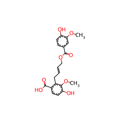 COc1cc(C(=O)OC/C=C/Cc2c(C(=O)O)ccc(O)c2OC)ccc1O